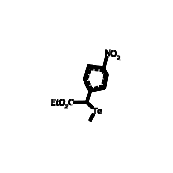 CCOC(=O)C([Te]C)c1ccc([N+](=O)[O-])cc1